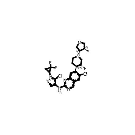 C[C@@H]1COC[C@@H]1N1CC[C@H](c2cc3nc(Nc4cnn(C5CC5(F)F)c4Cl)ncc3cc2Cl)[C@@H](F)C1